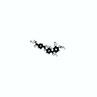 COC(=O)c1ccc(C(=O)Oc2ccc(C(C)c3ccc(OC)c(C)c3)cc2C)cc1